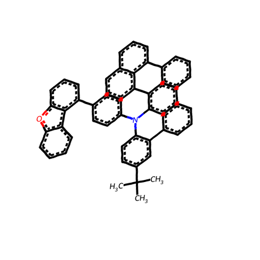 CC(C)(C)c1ccc(N(c2ccc(-c3cccc4oc5ccccc5c34)cc2)c2ccccc2-c2cccc3cccc(-c4ccccc4)c23)c(-c2ccccc2)c1